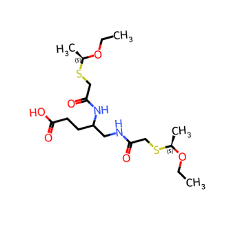 CCO[C@H](C)SCC(=O)NCC(CCC(=O)O)NC(=O)CS[C@@H](C)OCC